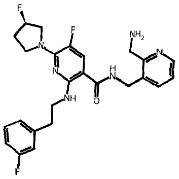 NCc1ncccc1CNC(=O)c1cc(F)c(N2CC[C@@H](F)C2)nc1NCCc1cccc(F)c1